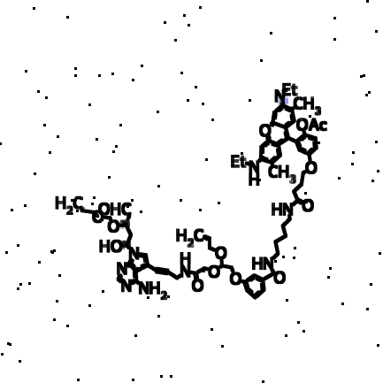 C=CCOCO[C@@H](CC=O)C[C@@H](O)n1cc(C#CCNC(=O)COC(COc2cccc(C(=O)NCCCCCNC(=O)CCCOc3ccc(OC(C)=O)c(-c4c5cc(C)/c(=N\CC)cc-5oc5cc(NCC)c(C)cc45)c3)c2)OCC=C)c2c(N)ncnc21